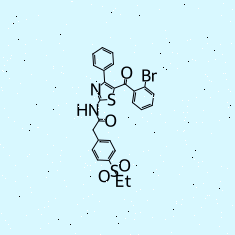 CCS(=O)(=O)c1ccc(CC(=O)Nc2nc(-c3ccccc3)c(C(=O)c3ccccc3Br)s2)cc1